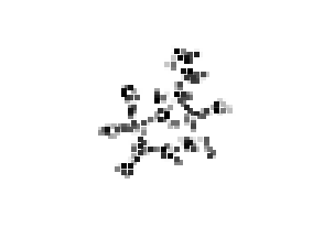 NC(N)=O.O=S([O-])S(=O)(=O)[O-].[Na+].[Na+]